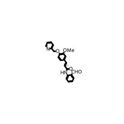 COc1cc(/C=C/C(=O)Nc2ccccc2C=O)ccc1OCc1ccccn1